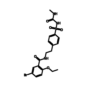 CCOc1ccc(Br)cc1C(=O)NCCc1ccc(S(=O)(=O)NC(=O)NC)cc1